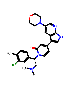 Cc1ccc([C@@H](CN(C)C)n2ccc(-c3c[nH]c4ncc(N5CCOCC5)cc34)cc2=O)cc1Br